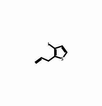 C=CCc1sccc1I